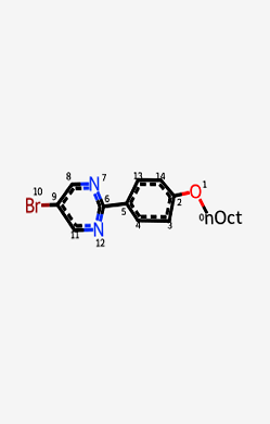 CCCCCCCCOc1ccc(-c2ncc(Br)cn2)cc1